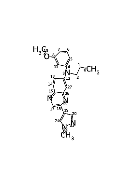 CCCN(c1cccc(OC)c1)c1ccc2ncc(-c3cnn(C)c3)nc2c1